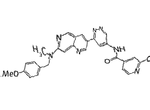 COc1ccc(CN(C)c2cc3ncc(-c4cc(NC(=O)c5ccnc(C(F)(F)F)c5)cnn4)cc3cn2)cc1